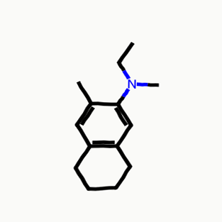 CCN(C)c1cc2c(cc1C)CCCC2